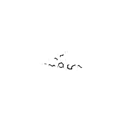 CC[C@@H](O)[C@H](OCCO)O[C@@H]1[C@@H](O)[C@H](O[C@@H]2CCC=C(CNCCO)O2)[C@@H](N)C[C@H]1NC(=O)[C@H](O)CNC(=O)OC(C)(C)C